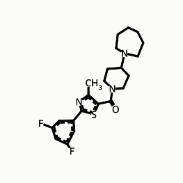 Cc1nc(-c2cc(F)cc(F)c2)sc1C(=O)N1CCC(N2CCCCCC2)CC1